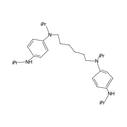 CC(C)Nc1ccc(N(CCCCCCN(c2ccc(NC(C)C)cc2)C(C)C)C(C)C)cc1